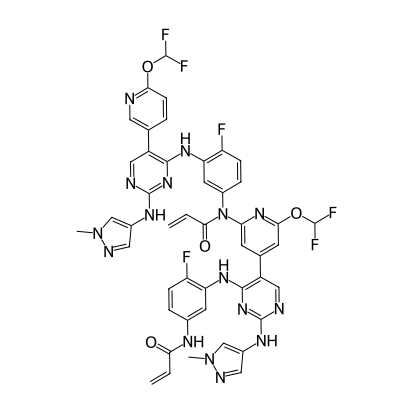 C=CC(=O)Nc1ccc(F)c(Nc2nc(Nc3cnn(C)c3)ncc2-c2cc(OC(F)F)nc(N(C(=O)C=C)c3ccc(F)c(Nc4nc(Nc5cnn(C)c5)ncc4-c4ccc(OC(F)F)nc4)c3)c2)c1